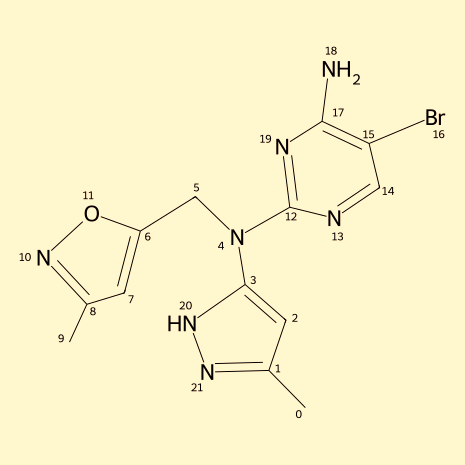 Cc1cc(N(Cc2cc(C)no2)c2ncc(Br)c(N)n2)[nH]n1